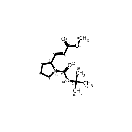 COC(=O)C=CC1CCCN1C(=O)OC(C)(C)C